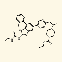 CCNC(=O)Nc1nc2cc(-c3ccc(CN(C)C4CCN(C(=O)OCC)CC4)nc3)cc(-c3ncccc3F)c2[nH]1